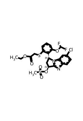 CCOC(=O)CSc1cccc(OC(F)F)c1[C@H]1C[C@H](OS(C)(=O)=O)c2nc3ccc(Cl)cc3n21